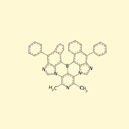 Cc1nc(C)c2c3c1-n1cnc4c(-c5ccccc5)c5ccccc5c(c41)B3c1c3ccccc3c(-c3ccccc3)c3ncn-2c13